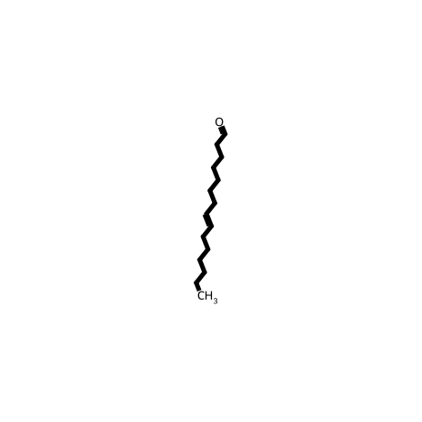 CCCCCCC=CCCCCCCC=O